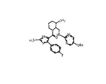 COc1cnc(NCC2C(C)CCCN2C(=O)c2nc(C)sc2-c2ccc(F)cc2)nc1